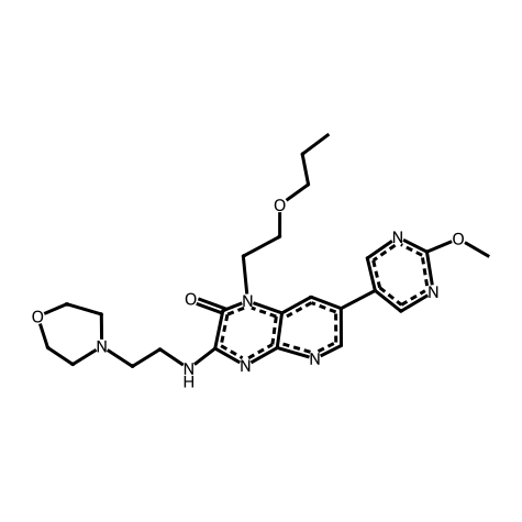 CCCOCCn1c(=O)c(NCCN2CCOCC2)nc2ncc(-c3cnc(OC)nc3)cc21